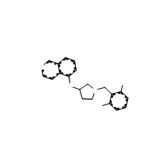 Fc1cccc(F)c1CN1CCC(Nc2cccc3cnccc23)C1